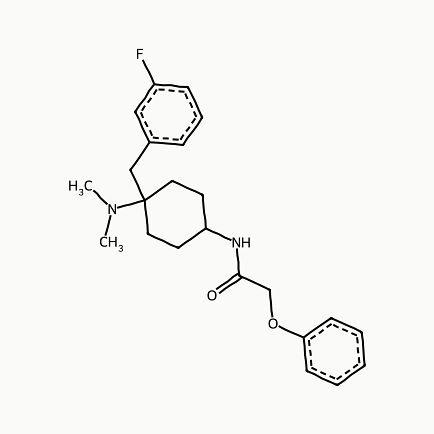 CN(C)C1(Cc2cccc(F)c2)CCC(NC(=O)COc2ccccc2)CC1